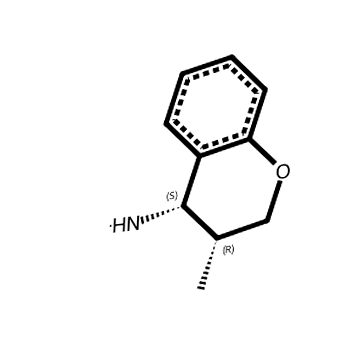 C[C@H]1COc2ccccc2[C@H]1[NH]